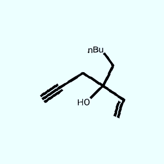 C#CCC(O)(C=C)CCCCC